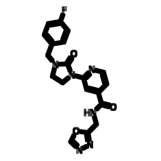 O=C(NCc1nnco1)c1ccnc(N2CCN(Cc3ccc(F)cc3)C2=O)c1